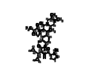 CCn1nccc1C(=O)N[C@H](C(=O)Nc1ccc([C@H](C)[C@@H](NC(=O)C(C)C(F)(F)F)C(=O)N2CCN(C)[C@H](C)C2)cc1F)C(C1CC1)C1CC1